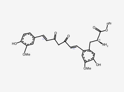 CCCOC(=O)[C@@H](N)Cc1cc(O)c(OC)cc1/C=C/C(=O)CC(=O)/C=C/c1ccc(O)c(OC)c1